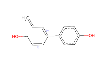 C=C/C=C(\C=C/CO)c1ccc(O)cc1